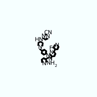 N#Cc1nccc(NC2CCN(Cc3ccc(-n4c(-c5cccnc5N)nc5ccc(-c6ccncc6F)nc54)cc3)CC2)n1